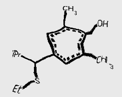 CCSC(c1cc(C)c(O)c(C)c1)C(C)C